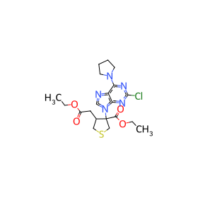 CCOC(=O)CC1CSCC1(C(=O)OCC)n1cnc2c(N3CCCC3)nc(Cl)nc21